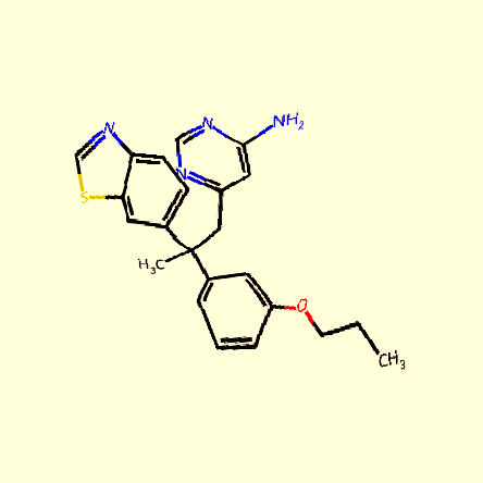 CCCOc1cccc(C(C)(Cc2cc(N)ncn2)c2ccc3ncsc3c2)c1